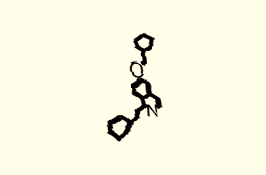 C1=CC(C=Cc2nccc3cc(OCC4CCCCC4)ccc23)=CCC1